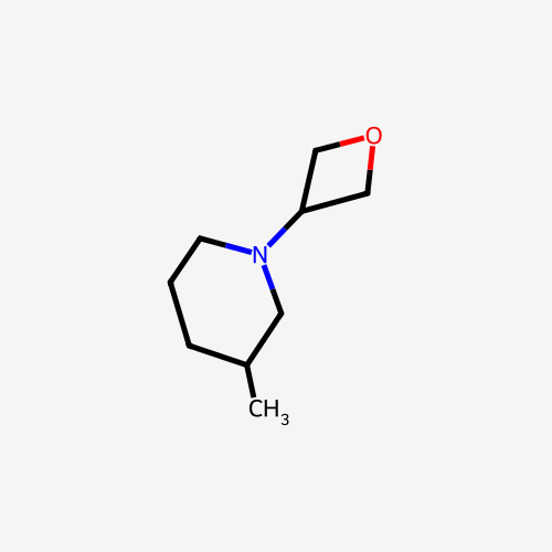 CC1CCCN(C2COC2)C1